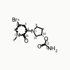 Cn1cc(Br)cc(N2CC[C@H](OC(N)=O)C2)c1=O